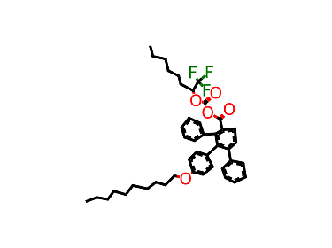 CCCCCCCCCCOc1ccc(-c2c(-c3ccccc3)ccc(C(=O)OC(=O)OC(CCCCCC)C(F)(F)F)c2-c2ccccc2)cc1